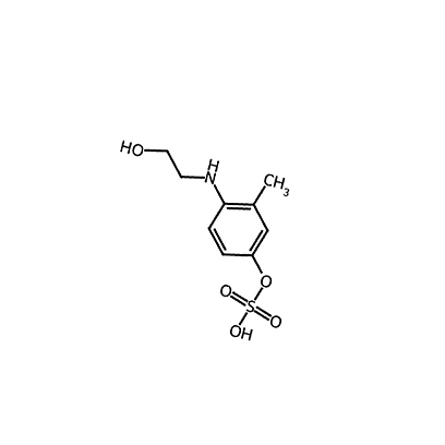 Cc1cc(OS(=O)(=O)O)ccc1NCCO